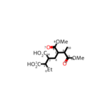 CCC(C(=O)O)C(CC(C(=O)OC)C(C)C(=O)OC)C(=O)O